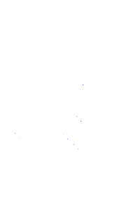 Cc1cc(N2C=NN(CC(CN)=C(F)F)C2)cnc1Br